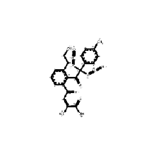 CC(=CC(=O)c1cccc(CCO)c1C(=O)C(N=C=O)(N=C=O)c1ccc(C)cc1)C(=O)O